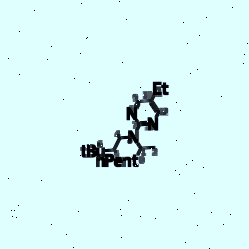 CCCCCC(C)N(CCC(C)(C)C)c1ncc(CC)cn1